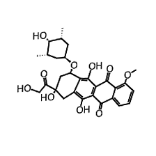 COc1cccc2c1C(=O)c1c(O)c3c(c(O)c1C2=O)C[C@](O)(C(=O)CO)C[C@H]3O[C@@H]1C[C@@H](C)[C@@H](O)[C@@H](C)C1